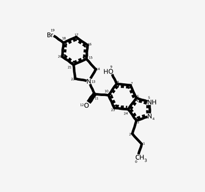 CCCc1n[nH]c2cc(O)c(C(=O)N3Cc4ccc(Br)cc4C3)cc12